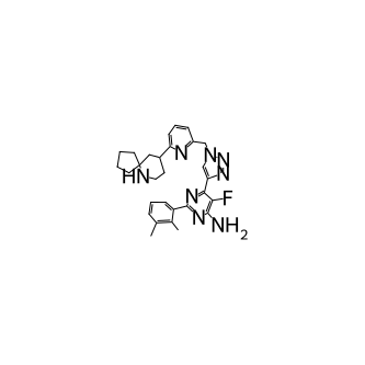 Cc1cccc(-c2nc(N)c(F)c(-c3cn(Cc4cccc(C5CCNC6(CCCC6)C5)n4)nn3)n2)c1C